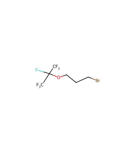 FC(F)(F)C(F)(OCCCBr)C(F)(F)F